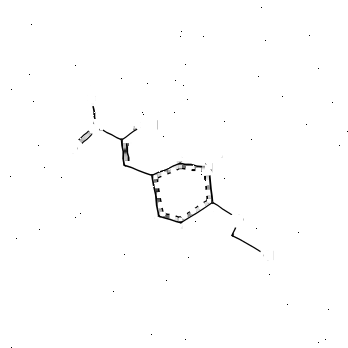 CCOc1ccc(/C=C(\C)[N+](=O)[O-])cn1